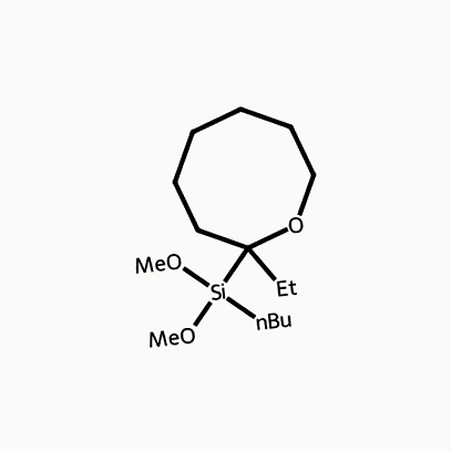 CCCC[Si](OC)(OC)C1(CC)CCCCCCO1